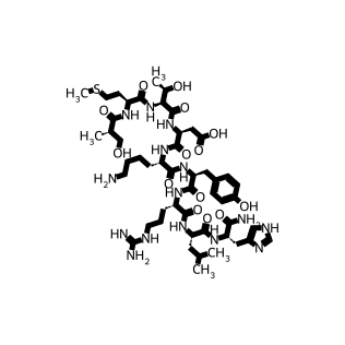 CSCC[C@H](NC(=O)[C@@H](C)CO)C(=O)N[C@H](C(=O)N[C@@H](CC(=O)O)C(=O)N[C@@H](CCCCN)C(=O)N[C@@H](Cc1ccc(O)cc1)C(=O)N[C@@H](CCCNC(=N)N)C(=O)N[C@@H](CC(C)C)C(=O)N[C@@H](Cc1c[nH]cn1)C(N)=O)[C@@H](C)O